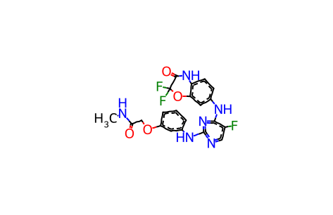 CNC(=O)COc1cccc(Nc2ncc(F)c(Nc3ccc4c(c3)OC(F)(F)C(=O)N4)n2)c1